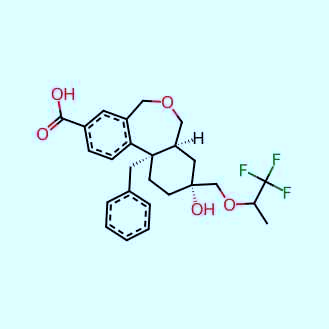 CC(OC[C@@]1(O)CC[C@@]2(Cc3ccccc3)c3ccc(C(=O)O)cc3COC[C@H]2C1)C(F)(F)F